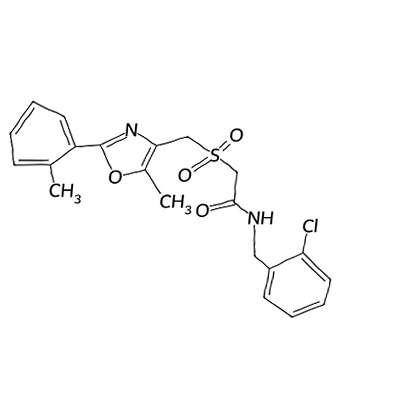 Cc1ccccc1-c1nc(CS(=O)(=O)CC(=O)NCc2ccccc2Cl)c(C)o1